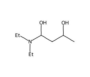 CCN(CC)C(O)CC(C)O